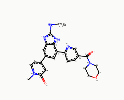 CCOC(=O)Nc1nc2cc(-c3ccn(C)c(=O)c3)cc(-c3ccc(C(=O)N4CCOCC4)cn3)c2[nH]1